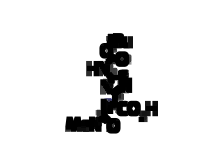 CNC(=O)/N=C(\C(=O)O)c1nsc(NC(=O)OC(C)(C)C)n1